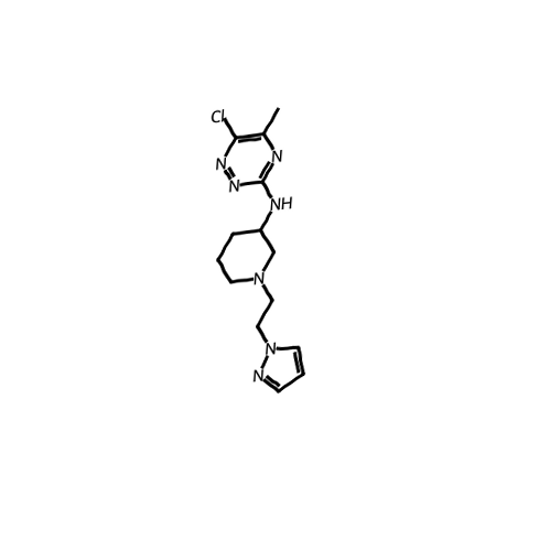 Cc1nc(NC2CCCN(CCn3cccn3)C2)nnc1Cl